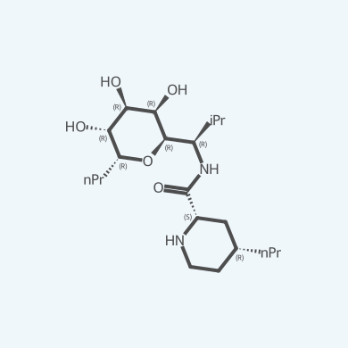 CCC[C@@H]1CCN[C@H](C(=O)N[C@H](C(C)C)[C@H]2O[C@H](CCC)[C@H](O)[C@@H](O)[C@H]2O)C1